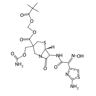 CC(C)(C)C(=O)OCOC(=O)C1(COC(N)=O)CS[C@@H]2C(NC(=O)C(=NO)c3csc(N)n3)C(=O)N2C1